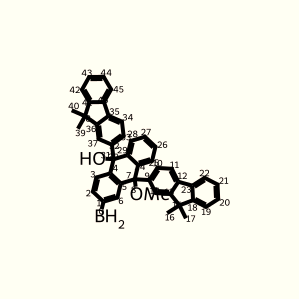 Bc1ccc2c(c1)C(OC)(c1ccc3c(c1)C(C)(C)c1ccccc1-3)c1ccccc1C2(O)c1ccc2c(c1)C(C)(C)c1ccccc1-2